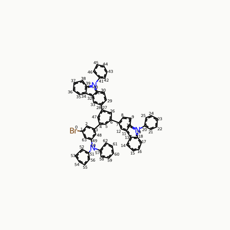 Brc1cc(-c2cc(-c3ccc4c(c3)c3ccccc3n4-c3ccccc3)cc(-c3ccc4c(c3)c3ccccc3n4-c3ccccc3)c2)cc(N(c2ccccc2)c2ccccc2)c1